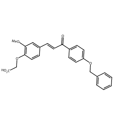 COc1cc(/C=C/C(=O)c2ccc(OCc3ccccc3)cc2)ccc1OCC(=O)O